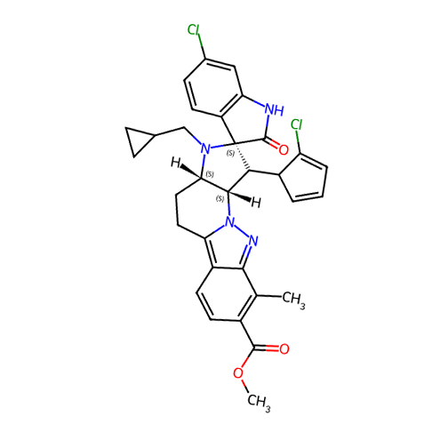 COC(=O)c1ccc2c3n(nc2c1C)[C@H]1C(C2C=CC=C2Cl)[C@]2(C(=O)Nc4cc(Cl)ccc42)N(CC2CC2)[C@H]1CC3